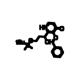 CC(C)(C)[Si](C)(C)OCCC(O)c1[nH]ccc(=O)c1OCc1ccccc1